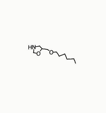 CCCCCCOCC1CNCO1